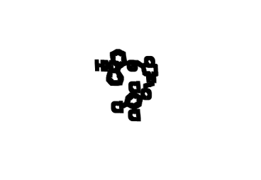 Clc1cc(Cl)c(OCCN2CCOC(COc3cccc4[nH]c5ccccc5c34)C2)cc1Cl